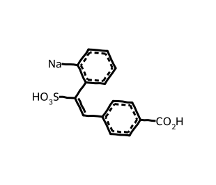 O=C(O)c1ccc(C=C(c2cccc[c]2[Na])S(=O)(=O)O)cc1